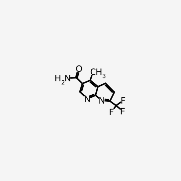 Cc1c(C(N)=O)cnc2nc(C(F)(F)F)ccc12